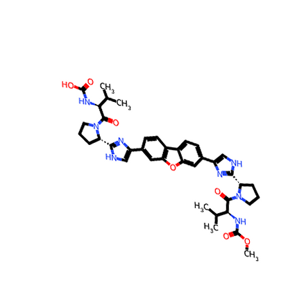 COC(=O)N[C@H](C(=O)N1CCC[C@H]1c1nc(-c2ccc3c(c2)oc2cc(-c4c[nH]c([C@@H]5CCCN5C(=O)[C@@H](NC(=O)O)C(C)C)n4)ccc23)c[nH]1)C(C)C